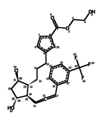 O=C(OCCO)c1ccc(CCC[C@@H]2[C@@H](C=C=Cc3cccc(C(F)(F)F)c3)[C@H](O)C[C@H]2Cl)s1